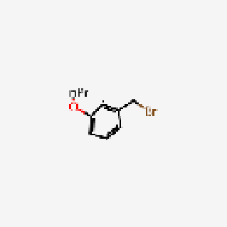 CCCOc1[c]c(CBr)ccc1